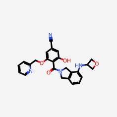 N#Cc1cc(O)c(C(=O)N2Cc3cccc(NC4COC4)c3C2)c(OCc2ccccn2)c1